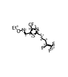 CCON=Cc1sc(SCCC(F)=C(F)F)nc1C(F)(F)F